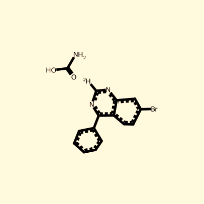 NC(=O)O.[2H]c1nc(-c2ccccc2)c2ccc(Br)cc2n1